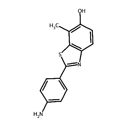 Cc1c(O)ccc2nc(-c3ccc(N)cc3)sc12